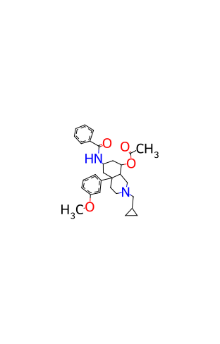 COc1cccc(C23CCN(CC4CC4)CC2C(OC(C)=O)CC(NC(=O)c2ccccc2)C3)c1